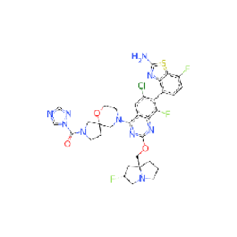 Nc1nc2c(-c3c(Cl)cc4c(N5CCOC6(CCN(C(=O)n7cncn7)C6)C5)nc(OC[C@@]56CCCN5C[C@H](F)C6)nc4c3F)ccc(F)c2s1